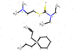 C=CC[Si]1(CCC)CCCCC1.CCN(CC)C(=S)SCCN(C)C